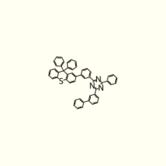 c1ccc(-c2cccc(-c3nc(-c4ccccc4)nc(-c4cccc(-c5ccc6c(c5)C(c5ccccc5)(c5ccccc5)c5ccccc5S6)c4)n3)c2)cc1